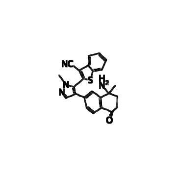 Cn1ncc(-c2ccc3c(c2)C(C)(N)CCC3=O)c1-c1sc2ccccc2c1C#N